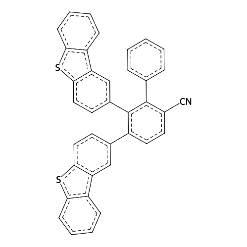 N#Cc1ccc(-c2ccc3sc4ccccc4c3c2)c(-c2ccc3sc4ccccc4c3c2)c1-c1ccccc1